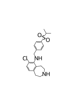 CC(C)S(=O)(=O)c1ccc(CNc2c(Cl)ccc3c2CCNCC3)cc1